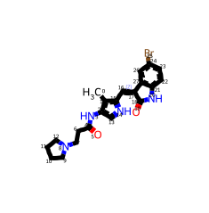 Cc1c(NC(=O)CCN2CCCC2)c[nH]c1/C=C1\C(=O)Nc2ccc(Br)cc21